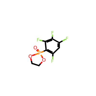 O=P1(c2c(F)cc(F)c(F)c2F)OCCO1